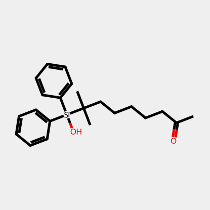 CC(=O)CCCCCC(C)(C)[Si](O)(c1ccccc1)c1ccccc1